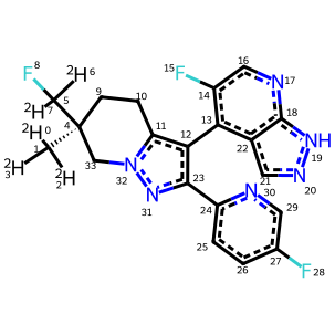 [2H]C([2H])([2H])[C@]1(C([2H])([2H])F)CCc2c(-c3c(F)cnc4[nH]ncc34)c(-c3ccc(F)cn3)nn2C1